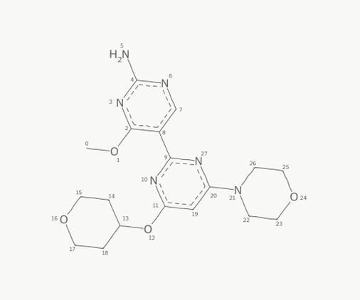 COc1nc(N)ncc1-c1nc(OC2CCOCC2)cc(N2CCOCC2)n1